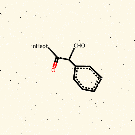 CCCCCCCC(=O)C(C=O)c1ccccc1